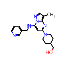 Cc1cnn2c(NCc3cccnc3)cc(N3CCC(CO)CC3)nc12